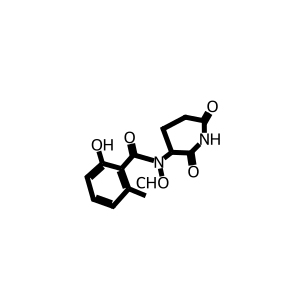 Cc1cccc(O)c1C(=O)N(C=O)C1CCC(=O)NC1=O